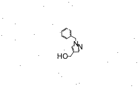 OCc1cnn(Cc2ccccc2)c1